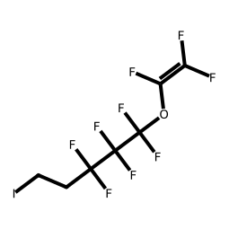 FC(F)=C(F)OC(F)(F)C(F)(F)C(F)(F)CCI